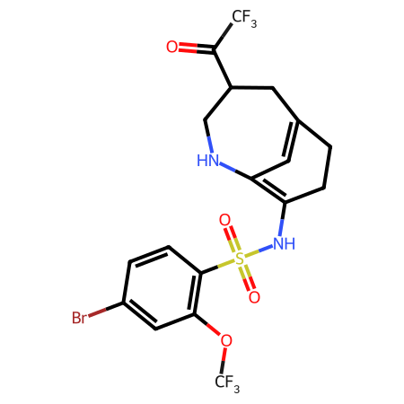 O=C(C1CNC2=C(NS(=O)(=O)c3ccc(Br)cc3OC(F)(F)F)CCC(=C2)C1)C(F)(F)F